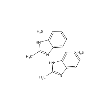 Cc1nc2ccccc2[nH]1.Cc1nc2ccccc2[nH]1.S.S